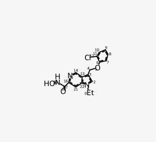 CCn1cc(COc2ccccc2Cl)c2cnc(C(=O)NO)cc21